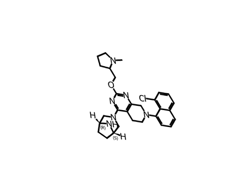 CN1CCCC1COc1nc2c(c(N3C[C@H]4CC[C@@H](C3)N4)n1)CCN(c1cccc3cccc(Cl)c13)C2